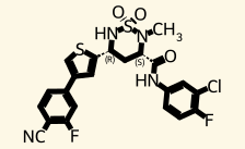 CN1[C@H](C(=O)Nc2ccc(F)c(Cl)c2)C[C@H](c2cc(-c3ccc(C#N)c(F)c3)cs2)NS1(=O)=O